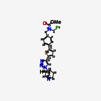 COC(=O)N(CF)Cc1ccc(-c2ccc(-c3cn([C@H]4CN5CCC4CC5)nn3)s2)cc1